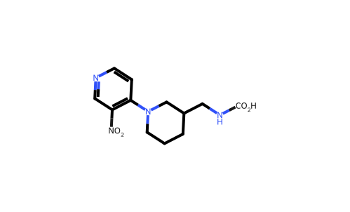 O=C(O)NCC1CCCN(c2ccncc2[N+](=O)[O-])C1